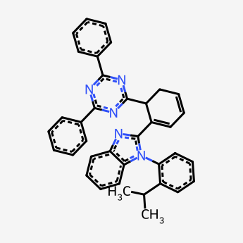 CC(C)c1ccccc1-n1c(C2=CC=CCC2c2nc(-c3ccccc3)nc(-c3ccccc3)n2)nc2ccccc21